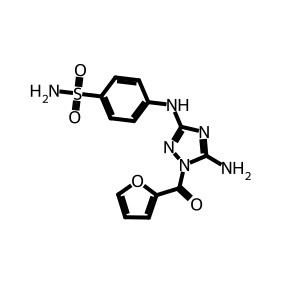 Nc1nc(Nc2ccc(S(N)(=O)=O)cc2)nn1C(=O)c1ccco1